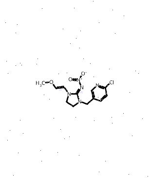 CO/C=C/N1CCN(Cc2ccc(Cl)nc2)/C1=N/[N+](=O)[O-]